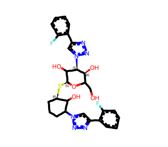 OCC1O[C@@H](S[C@@H]2CCCC(n3cc(-c4ccccc4F)nn3)C2O)C(O)[C@@H](n2cc(-c3ccccc3F)nn2)[C@H]1O